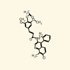 COc1cc(/C=C/C(=O)Nc2cnc3c(C)c(Cl)ccc3c2-c2ccccc2C)cc(OC)c1OC(C)=O